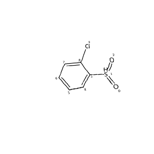 O=[SH](=O)c1ccccc1Cl